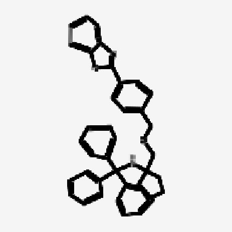 c1ccc(C(NC2(COCc3ccc(-c4nc5ccccc5o4)cc3)CCCC2)(c2ccccc2)c2ccccc2)cc1